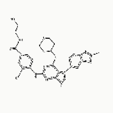 Cc1nc2ccc(-c3c[nH]c4nc(Nc5ccc(C(=O)NCCO)cc5Cl)nc(OC5CCOCC5)c34)cc2o1